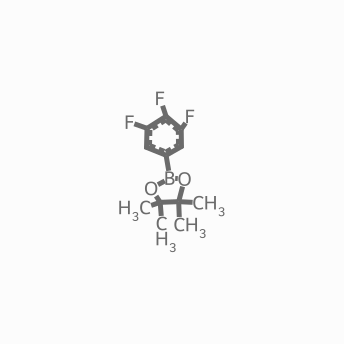 CC1(C)OB(c2cc(F)c(F)c(F)c2)OC1(C)C